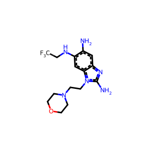 Nc1cc2nc(N)n(CCN3CCOCC3)c2cc1NCC(F)(F)F